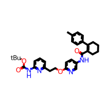 Cc1ccc(C2=C(C(=O)Nc3ccc(OCCc4cccc(NC(=O)OC(C)(C)C)n4)nc3)CCCC2)cc1